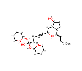 CCCCCCCCCCCC=C[C@H]1CC[C@H](O)[C@@H]1CC(O)C#CCCC(O)(OC1CCCCO1)OC1CCCCO1